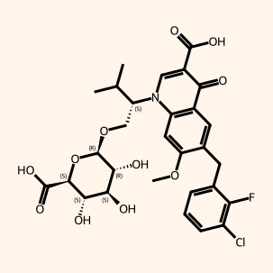 COc1cc2c(cc1Cc1cccc(Cl)c1F)c(=O)c(C(=O)O)cn2[C@H](CO[C@@H]1O[C@H](C(=O)O)[C@@H](O)[C@H](O)[C@H]1O)C(C)C